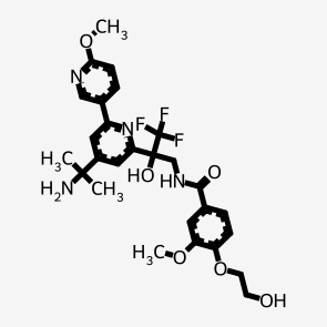 COc1ccc(-c2cc(C(C)(C)N)cc(C(O)(CNC(=O)c3ccc(OCCO)c(OC)c3)C(F)(F)F)n2)cn1